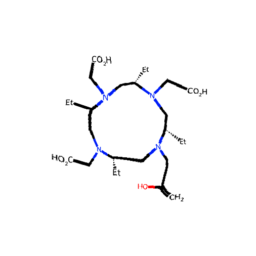 C=C(O)CN1C[C@H](CC)N(CC(=O)O)CC(CC)N(CC(=O)O)C[C@H](CC)N(CC(=O)O)C[C@@H]1CC